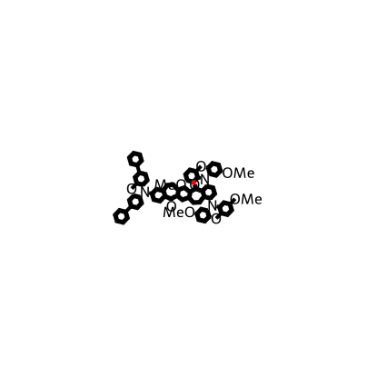 COc1ccc2c(c1)N(c1ccc(N3c4cc(OC)ccc4Oc4ccc(OC)cc43)c3c(=O)c4cc5ccc6cc(N7c8ccc(-c9ccccc9)cc8Oc8cc(-c9ccccc9)ccc87)ccc6c(=O)c5cc4ccc13)c1cc(OC)ccc1O2